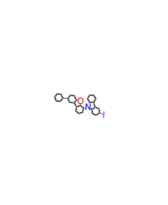 Ic1ccc2c(c1)c1ccccc1n2-c1cccc2c1oc1ccc(-c3ccccc3)cc12